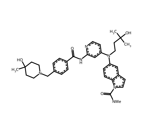 CNC(=O)n1ccc2cc(N(CCC(C)(C)O)c3ccnc(NC(=O)c4ccc(CN5CCC(C)(O)CC5)cc4)c3)ccc21